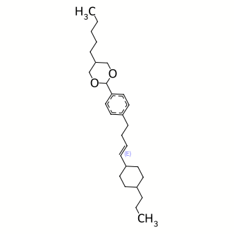 CCCCCC1COC(c2ccc(CC/C=C/C3CCC(CCC)CC3)cc2)OC1